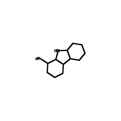 CCCC1CCCC2C3CCCCC3NC12